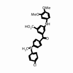 COc1ccc(Nc2cc(C(=O)O)cc(C(=O)c3ccc(N(C)c4ccc(Cl)cc4)cc3)c2)cc1OC